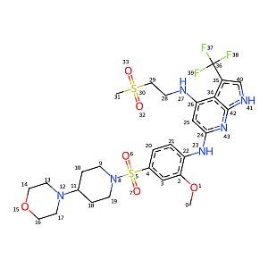 COc1cc(S(=O)(=O)N2CCC(N3CCOCC3)CC2)ccc1Nc1cc(NCCS(C)(=O)=O)c2c(C(F)(F)F)c[nH]c2n1